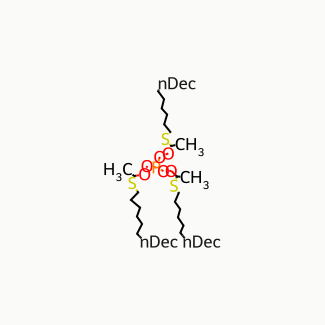 CCCCCCCCCCCCCCCCSC(C)OOP(OOC(C)SCCCCCCCCCCCCCCCC)OOC(C)SCCCCCCCCCCCCCCCC